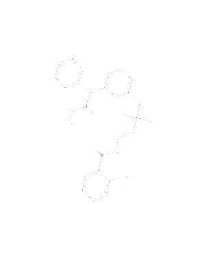 CC(C)(CCNC(=O)c1ccccc1O)Cc1cccc(C(C(=O)NO)c2ccccc2)c1